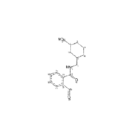 NC1CCCC(CNC(=O)c2ccccc2C=O)C1